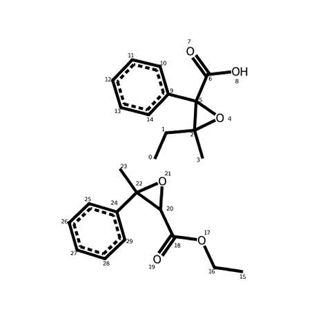 CCC1(C)OC1(C(=O)O)c1ccccc1.CCOC(=O)C1OC1(C)c1ccccc1